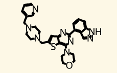 c1cncc(CN2CCN(Cc3cc4nc(-c5cccc6[nH]ncc56)nc(N5CCOCC5)c4s3)CC2)c1